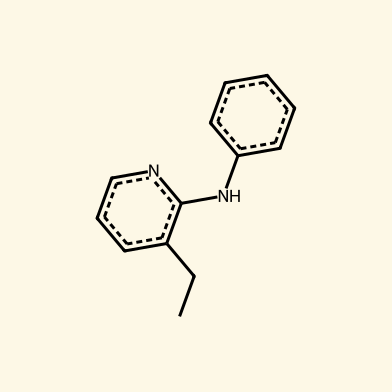 CCc1cccnc1Nc1ccccc1